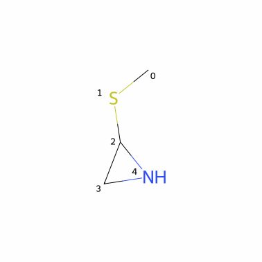 CSC1CN1